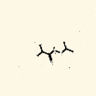 CC(C)ONC(=O)C(C)C